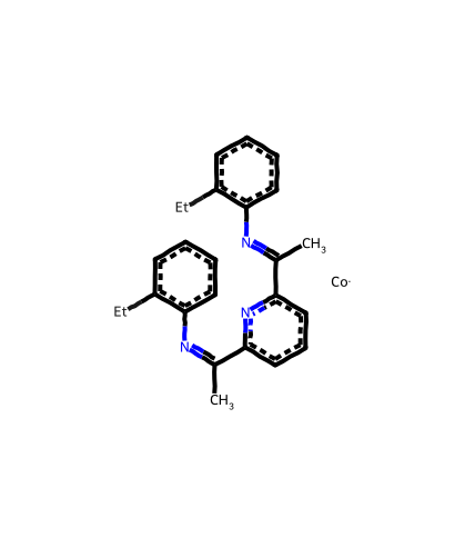 CCc1ccccc1N=C(C)c1cccc(C(C)=Nc2ccccc2CC)n1.[Co]